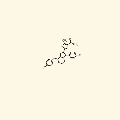 CC(=O)C1=C(C)N=C(C2C=C3C(Cc4ccc(C)cc4)CCCC3C2c2ccc(C)cc2)C1